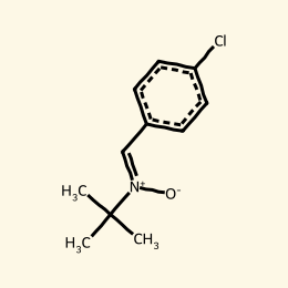 CC(C)(C)/[N+]([O-])=C/c1ccc(Cl)cc1